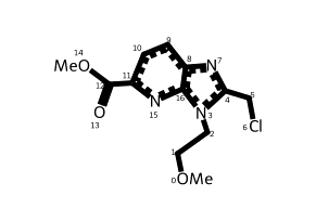 COCCn1c(CCl)nc2ccc(C(=O)OC)nc21